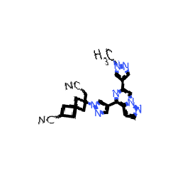 Cn1cc(-c2cn3nccc3c(-c3cnn(C4(CC#N)CC5(CC(C#N)C5)C4)c3)n2)cn1